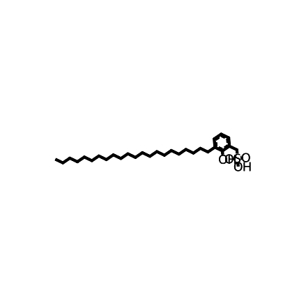 CCCCCCCCCCCCCCCCCCCCCCc1cccc(CS(=O)(=O)O)c1O